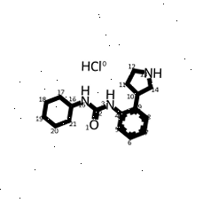 Cl.O=C(Nc1ccccc1C1CCNC1)NC1CCCCC1